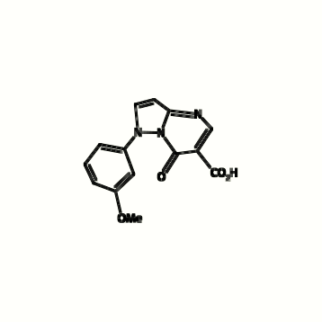 COc1cccc(-n2ccc3ncc(C(=O)O)c(=O)n32)c1